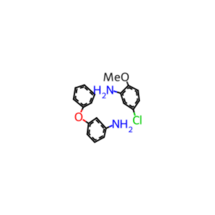 COc1ccc(Cl)cc1N.Nc1cccc(Oc2ccccc2)c1